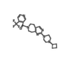 O=C(c1cnccc1C(F)(F)F)N1CCc2cnc(N3CCN(C4CCC4)CC3)nc2CC1